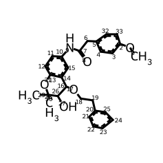 COc1ccc(CC(=O)Nc2ccc3c(c2)C(OCCc2ccccc2)C(O)C(C)(C)O3)cc1